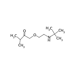 CC(C)C(=O)COCCNC(C)(C)C